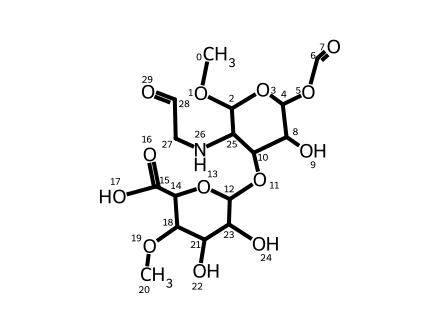 COC1OC(OC=O)C(O)C(OC2OC(C(=O)O)C(OC)C(O)C2O)C1NCC=O